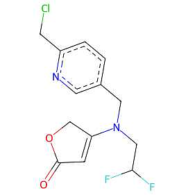 O=C1C=C(N(Cc2ccc(CCl)nc2)CC(F)F)CO1